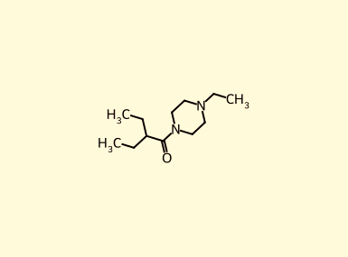 CCC(CC)C(=O)N1CCN(CC)CC1